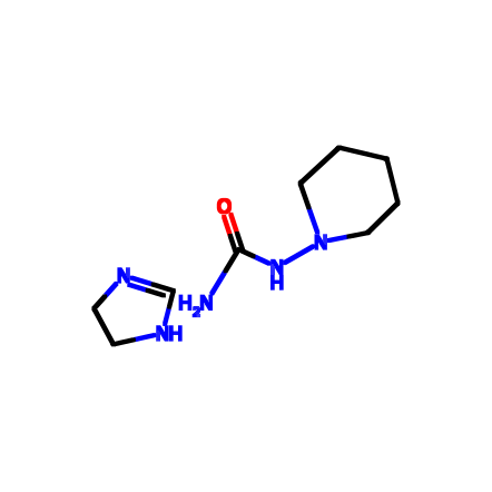 C1=NCCN1.NC(=O)NN1CCCCC1